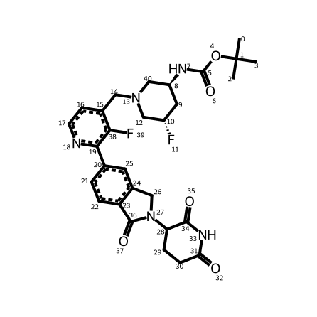 CC(C)(C)OC(=O)N[C@H]1C[C@H](F)CN(Cc2ccnc(-c3ccc4c(c3)CN(C3CCC(=O)NC3=O)C4=O)c2F)C1